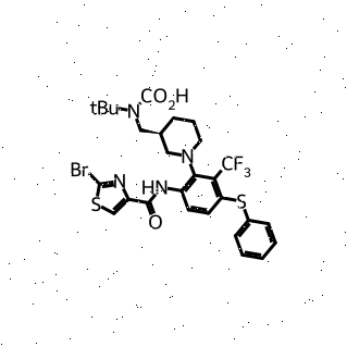 CC(C)(C)N(C[C@H]1CCCN(c2c(NC(=O)c3csc(Br)n3)ccc(Sc3ccccc3)c2C(F)(F)F)C1)C(=O)O